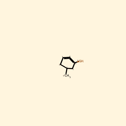 CC1CC=C=C(S)C1